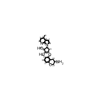 Cc1ccnc2c1ccn2[C@@H]1C[C@H](Oc2cccc3c2C[C@H](N)CO3)[C@@H](O)[C@H]1O